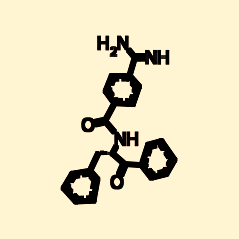 N=C(N)c1ccc(C(=O)N[C@@H](Cc2ccccc2)C(=O)c2ccccc2)cc1